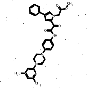 COC(=O)Cn1cc(-c2ccccc2)cc1C(=O)C(=O)Nc1ccc(N2CCN(c3cc(C)cc(C)n3)CC2)cc1